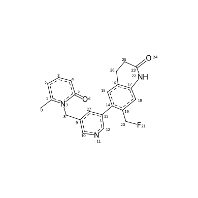 Cc1cccc(=O)n1Cc1cncc(-c2cc3c(cc2CF)NC(=O)CC3)c1